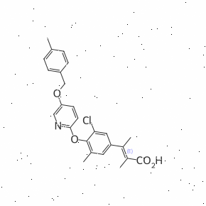 C/C(C(=O)O)=C(/C)c1cc(C)c(Oc2ccc(OCc3ccc(C)cc3)cn2)c(Cl)c1